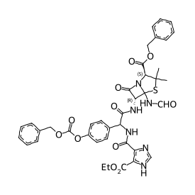 CCOC(=O)c1[nH]cnc1C(=O)NC(C(=O)N[C@@H]1C(=O)N2[C@@H](C(=O)OCc3ccccc3)C(C)(C)SC12NC=O)c1ccc(OC(=O)OCc2ccccc2)cc1